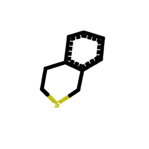 [c]1ccc2c(c1)CCSC2